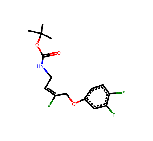 CC(C)(C)OC(=O)NC/C=C(/F)COc1ccc(F)c(F)c1